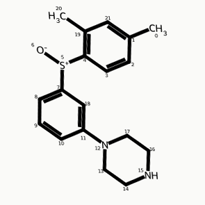 Cc1ccc([S+]([O-])c2cccc(N3CCNCC3)c2)c(C)c1